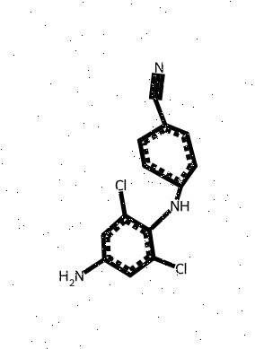 N#Cc1ccc(Nc2c(Cl)cc(N)cc2Cl)cc1